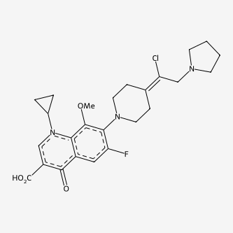 COc1c(N2CCC(=C(Cl)CN3CCCC3)CC2)c(F)cc2c(=O)c(C(=O)O)cn(C3CC3)c12